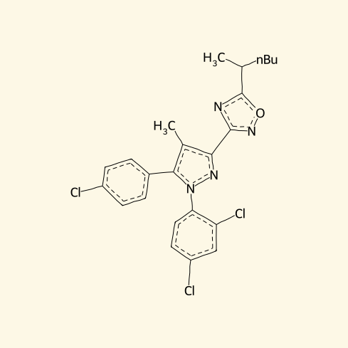 CCCCC(C)c1nc(-c2nn(-c3ccc(Cl)cc3Cl)c(-c3ccc(Cl)cc3)c2C)no1